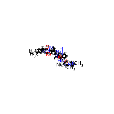 CN1CCN(C(C)(C)/C=C(/C#N)C(=O)Nc2cccc(Nc3nc(-c4ccnc(N5CCn6c(cc7c6CC(C)(C)C7)C5=O)c4CO)cn(C)c3=O)c2)CC1